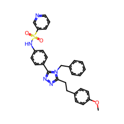 COc1ccc(CCc2nnc(-c3ccc(NS(=O)(=O)c4cccnc4)cc3)n2Cc2ccccc2)cc1